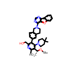 Cc1nc(CO)c(-c2ccc3c(c2)CCN(c2ncnc4c2oc2ccccc24)C3)c(N2CCC(C)(C)CC2)c1[C@H](OC(C)(C)C)C(=O)O